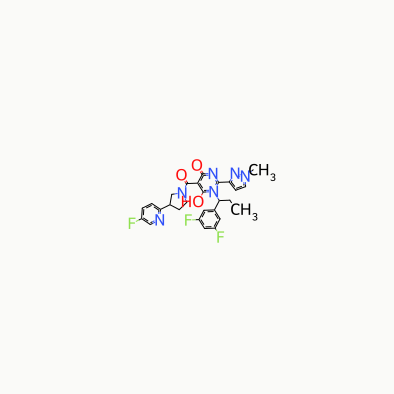 CCC(c1cc(F)cc(F)c1)n1c(-c2ccn(C)n2)nc(=O)c(C(=O)N2CCC(c3ccc(F)cn3)C2)c1O